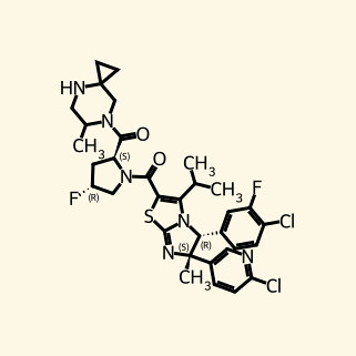 CC(C)C1=C(C(=O)N2C[C@H](F)C[C@H]2C(=O)N2CC3(CC3)NCC2C)SC2=N[C@@](C)(c3ccc(Cl)nc3)[C@@H](c3ccc(Cl)c(F)c3)N21